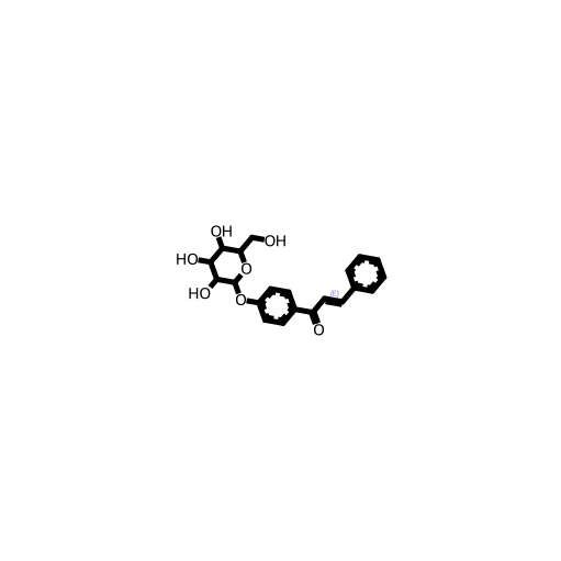 O=C(/C=C/c1ccccc1)c1ccc(OC2OC(CO)C(O)C(O)C2O)cc1